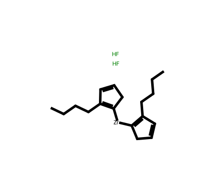 CCCCC1=[C]([Zr][C]2=C(CCCC)C=CC2)CC=C1.F.F